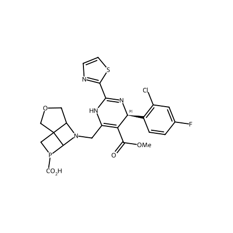 COC(=O)C1=C(CN2C3COCC34CP(C(=O)O)C24)NC(c2nccs2)=N[C@H]1c1ccc(F)cc1Cl